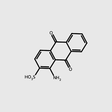 Nc1c(S(=O)(=O)O)ccc2c1C(=O)c1ccccc1C2=O